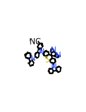 N#Cc1ccc2c(c1)c1cc(-n3c4ccccc4c4ccccc43)ccc1n2-c1ccc2c(c1)Sc1cc(-n3c4ccccc4c4ccccc43)ccc1C21c2cccnc2-c2ncccc21